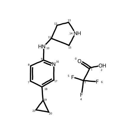 O=C(O)C(F)(F)F.c1cc(NC2CCNC2)ncc1C1CC1